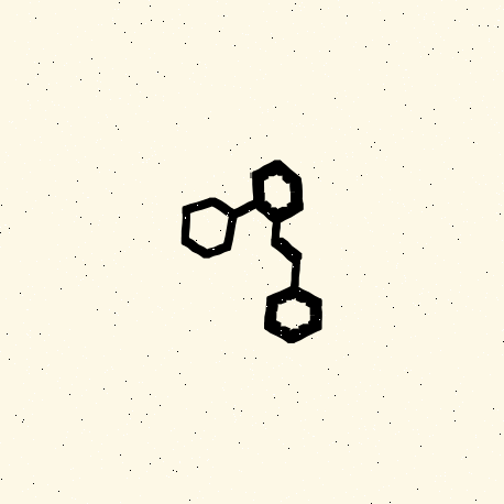 [c]1cccc(C=Cc2ccccc2)c1C1CCCCC1